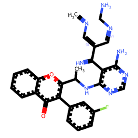 C=N/C=C(\C=N/CN)C(=N)c1c(N)ncnc1NC(C)c1oc2ccccc2c(=O)c1-c1cccc(F)c1